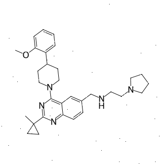 COc1ccccc1C1CCN(c2nc(C3(C)CC3)nc3ccc(CNCCN4CCCC4)cc23)CC1